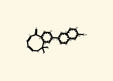 C=C1/C=C\C=C/CC(C)(C)c2cc(-c3ccc4cc(I)ccc4c3)ccc21